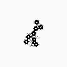 Cc1cc(-c2ccc3c(c2)c2ccccc2n3-c2ccccc2)cc(C)c1N(c1cccc(-c2ccccc2)c1)c1ccc2c(c1)C(C)(C)c1ccccc1-2